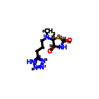 CN(CCCc1nnn[nH]1)C1SC(=O)NC1=O